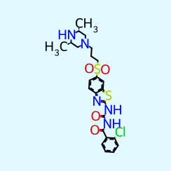 C[C@@H]1CN(CCCS(=O)(=O)c2ccc3nc(NC(=O)NC(=O)c4ccccc4Cl)sc3c2)C[C@@H](C)N1